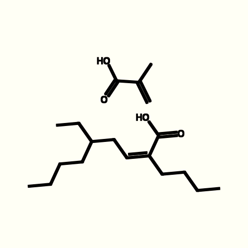 C=C(C)C(=O)O.CCCCC(=CCC(CC)CCCC)C(=O)O